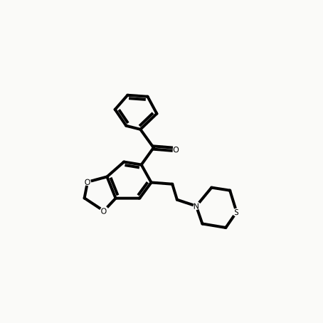 O=C(c1ccccc1)c1cc2c(cc1CCN1CCSCC1)OCO2